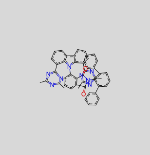 Cc1nc(C)nc(-c2cccc3c4cccc(-c5nc(C)nc(C)n5)c4n(-c4cccc5c4C(=O)N(c4c(-c6ccccc6)cccc4-c4ccccc4)C5=O)c23)n1